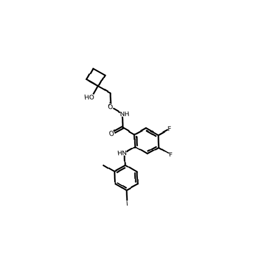 Cc1cc(I)ccc1Nc1cc(F)c(F)cc1C(=O)NOCC1(O)CCC1